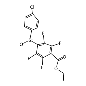 CCOC(=O)c1c(F)c(F)c([S+]([O-])c2ccc(Cl)cc2)c(F)c1F